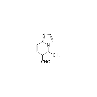 CC1C(C=O)C=Cc2nccn21